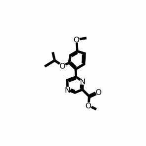 COC(=O)c1cncc(-c2ccc(OC)cc2OC(C)C)n1